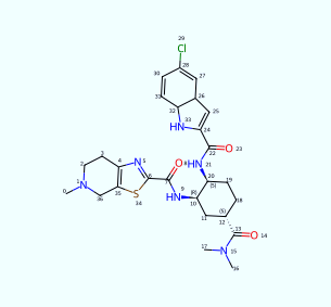 CN1CCc2nc(C(=O)N[C@@H]3C[C@@H](C(=O)N(C)C)CC[C@@H]3NC(=O)C3=CC4C=C(Cl)C=CC4N3)sc2C1